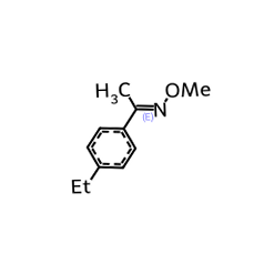 CCc1ccc(/C(C)=N/OC)cc1